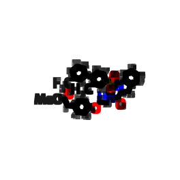 COC(=O)Cc1ccc(OCCNC(=O)[C@@H]2Cc3ccccc3N2S(=O)(=O)c2ccc(-c3cccc(C(F)(F)F)c3)c(C)c2)cc1